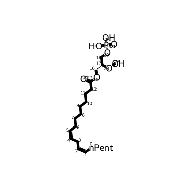 CCCCC/C=C\C/C=C\CCCCCCCC(=O)OC[C@H](COP(=O)(O)O)OO